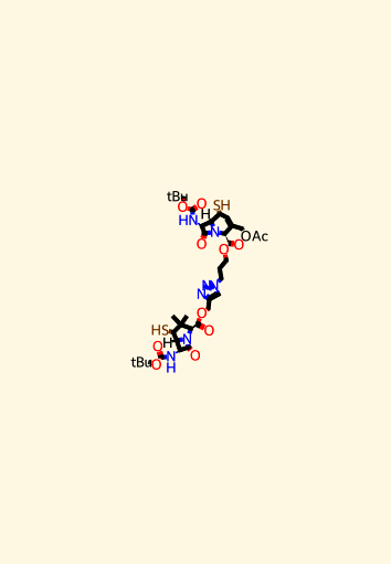 CC(=O)OCC1=CC(S)[C@H]2[C@@H](NC(=O)OC(C)(C)C)C(=O)N2[C@H]1C(=O)OCCCn1cc(COC(=O)[C@H]2N3C(=O)[C@H](NC(=O)OC(C)(C)C)[C@@H]3C(S)C2(C)C)nn1